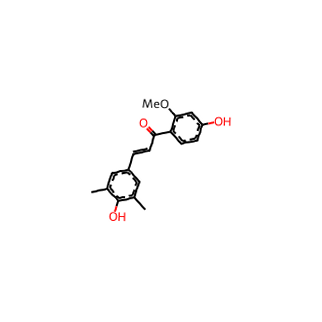 COc1cc(O)ccc1C(=O)/C=C/c1cc(C)c(O)c(C)c1